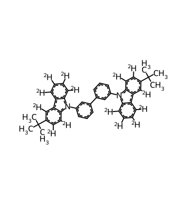 [2H]c1c([2H])c([2H])c2c(c1[2H])c1c([2H])c(C(C)(C)C)c([2H])c([2H])c1n2-c1cccc(-c2cccc(-n3c4c([2H])c([2H])c([2H])c([2H])c4c4c([2H])c(C(C)(C)C)c([2H])c([2H])c43)c2)c1